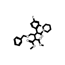 COC(=O)C(C(=O)OC)C(COCc1ccccc1)C(C(=O)N1CCCCC1)c1ccc(F)cc1C